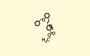 CCOC(=O)c1ccc(C=Cc2ccccc2OCc2ccccc2)nn1